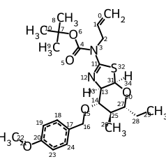 C=CCN(C(=O)OC(C)(C)C)C1=N[C@@H]2[C@@H](OCc3ccc(OC)cc3)[C@H](C)[C@@H](CC)O[C@@H]2S1